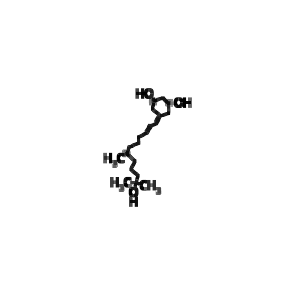 C[C@H](CCCC=CC=C1C[C@@H](O)C[C@H](O)C1)CCCC(C)(C)O